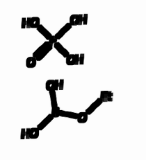 CCOB(O)O.O=P(O)(O)O